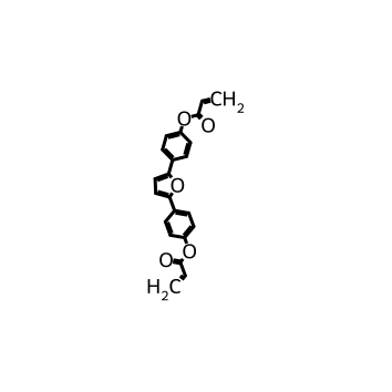 C=CC(=O)Oc1ccc(-c2ccc(-c3ccc(OC(=O)C=C)cc3)o2)cc1